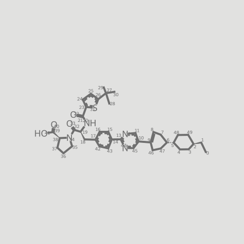 CC[C@H]1CC[C@H](C2CC=C(c3cnc(-c4ccc(C[C@H](NC(=O)c5ccc(C(C)(C)C)s5)C(=O)N5CCC[C@H]5C(=O)O)cc4)nc3)CC2)CC1